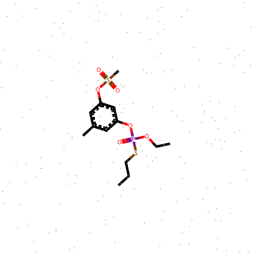 CCCSP(=O)(OCC)Oc1cc(C)cc(OS(C)(=O)=O)c1